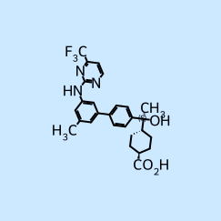 Cc1cc(Nc2nccc(C(F)(F)F)n2)cc(-c2ccc([C@@](C)(O)[C@H]3CC[C@H](C(=O)O)CC3)cc2)c1